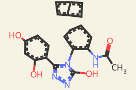 CC(=O)Nc1ccccc1-n1c(O)nnc1-c1ccc(O)cc1O.c1cc2ccc1-2